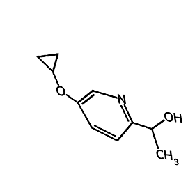 CC(O)c1ccc(OC2CC2)cn1